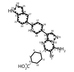 Nc1c(Br)c([C@H]2CC[C@@H](C(=O)O)CC2)nc2c(-c3ccc(-c4ccc5[nH]ncc5c4)nc3)cnn12